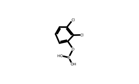 OB(O)Oc1cccc(Cl)c1Cl